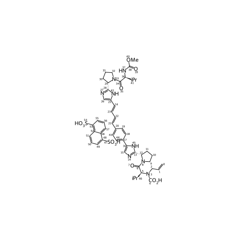 C=CCN(C(=O)O)[C@H](C(=O)N1CCC[C@H]1c1ncc(-c2ccc(C=CC=Cc3cnc([C@@H]4CCCN4C(=O)[C@@H](NC(=O)OC)C(C)C)[nH]3)cc2)[nH]1)C(C)C.O=S(=O)(O)c1cccc2c(S(=O)(=O)O)cccc12